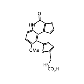 COc1ccc2[nH]c(=O)c3sccc3c2c1-c1ccc(CNC(=O)O)s1